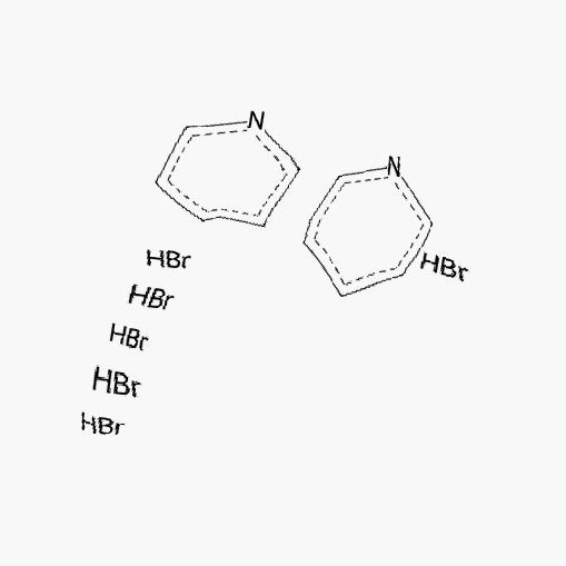 Br.Br.Br.Br.Br.Br.c1ccncc1.c1ccncc1